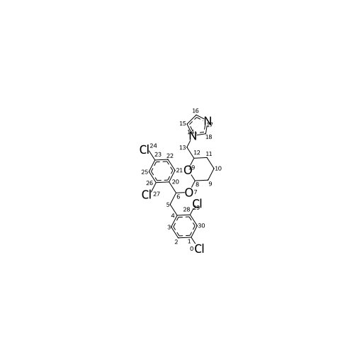 Clc1ccc(CC(OC2CCCC(Cn3ccnc3)O2)c2ccc(Cl)cc2Cl)c(Cl)c1